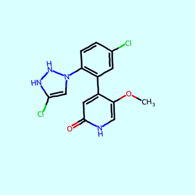 COc1c[nH]c(=O)cc1-c1cc(Cl)ccc1N1C=C(Cl)NN1